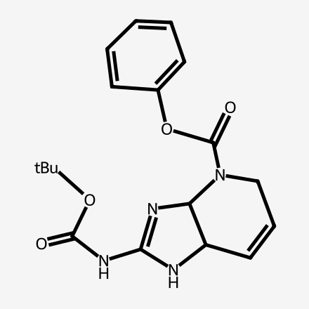 CC(C)(C)OC(=O)NC1=NC2C(C=CCN2C(=O)Oc2ccccc2)N1